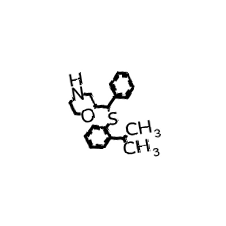 CC(C)c1ccccc1S[C@@H](c1ccccc1)[C@@H]1CNCCO1